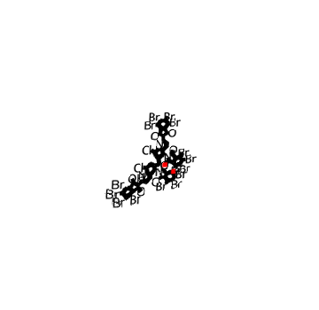 O=C1c2c(Br)c(Br)c(Br)c(Br)c2C(=O)C1c1ccc2c(N3C(=O)c4c(Br)c(Br)c(Br)c(Br)c4C3=O)c(Cc3cc(Cl)c4nc(C5C(=O)c6c(Br)c(Br)c(Br)c(Br)c6C5O)ccc4c3N3C(=O)c4c(Br)c(Br)c(Br)c(Br)c4C3=O)cc(Cl)c2n1